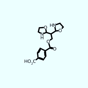 O=C(O)c1ccc(C(=O)OCC(C2NCCO2)C2NCCO2)cc1